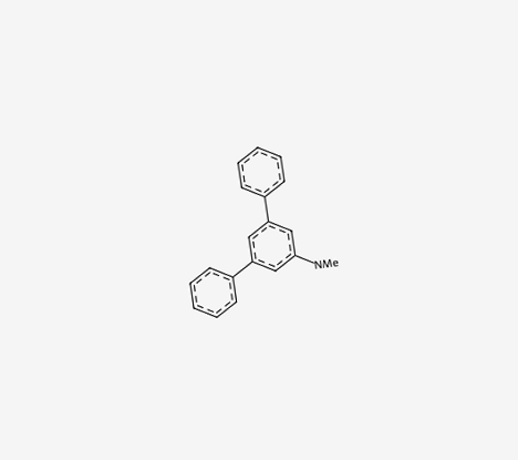 CNc1cc(-c2ccccc2)cc(-c2ccccc2)c1